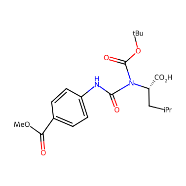 COC(=O)c1ccc(NC(=O)N(C(=O)OC(C)(C)C)[C@@H](CC(C)C)C(=O)O)cc1